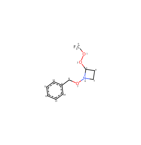 FC(F)(F)OOC1CCN1OCc1ccccc1